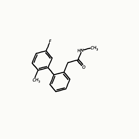 CNC(=O)Cc1ccccc1-c1cc(F)ccc1C